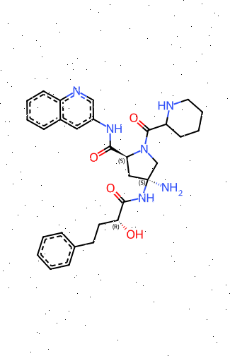 N[C@]1(NC(=O)[C@H](O)CCc2ccccc2)C[C@@H](C(=O)Nc2cnc3ccccc3c2)N(C(=O)C2CCCCN2)C1